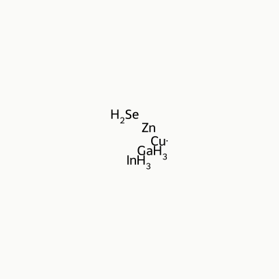 [Cu].[GaH3].[InH3].[SeH2].[Zn]